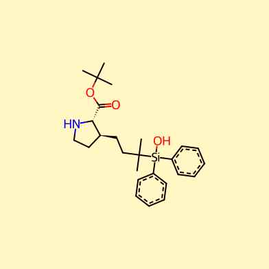 CC(C)(C)OC(=O)[C@H]1NCC[C@@H]1CCC(C)(C)[Si](O)(c1ccccc1)c1ccccc1